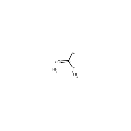 CC(=O)F.F.F